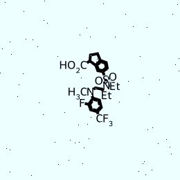 CCC(CN(C)c1ccc(C(F)(F)F)cc1F)N(CC)S(=O)(=O)c1ccc2c(c1)C(C(=O)O)CC2